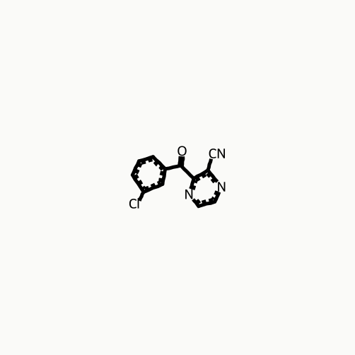 N#Cc1nccnc1C(=O)c1cccc(Cl)c1